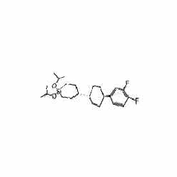 CC(C)O[Si]1(OC(C)C)CCC([C@H]2CC[C@H](c3ccc(F)c(F)c3)CC2)CC1